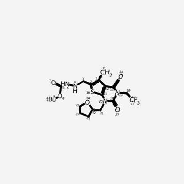 Cc1c(CNNC(=O)OC(C)(C)C)sc2c1c(=O)n(CC(F)(F)F)c(=O)n2CC1CCCO1